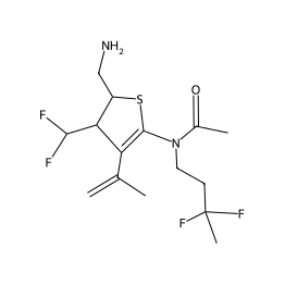 C=C(C)C1=C(N(CCC(C)(F)F)C(C)=O)SC(CN)C1C(F)F